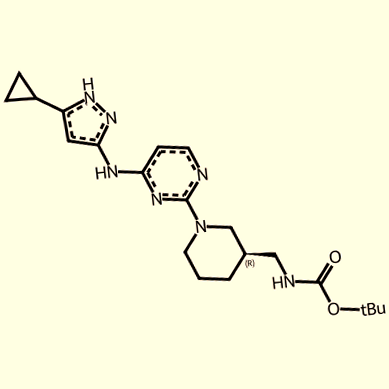 CC(C)(C)OC(=O)NC[C@H]1CCCN(c2nccc(Nc3cc(C4CC4)[nH]n3)n2)C1